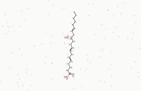 CCCCCC=CC[C@@H](O)CCC=CCC=CCCCC(=O)O